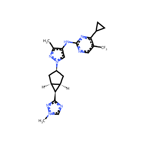 Cc1nn([C@H]2C[C@@H]3[C@H](C2)[C@@H]3c2ncn(C)n2)cc1Nc1ncc(C(F)(F)F)c(C2CC2)n1